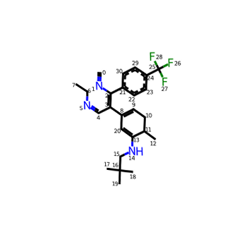 C=N/C(=C(\C=N/CC)C1=CCC(C)C(NCC(C)(C)C)=C1)c1ccc(C(F)(F)F)cc1